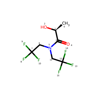 C[C@H](O)C(=O)N(CC(F)(F)F)CC(F)(F)F